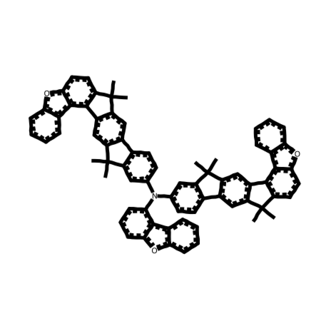 CC1(C)c2cc(N(c3ccc4c(c3)C(C)(C)c3cc5c(cc3-4)C(C)(C)c3ccc4oc6ccccc6c4c3-5)c3cccc4oc5ccccc5c34)ccc2-c2cc3c(cc21)-c1c(ccc2oc4ccccc4c12)C3(C)C